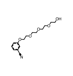 N#Cc1cccc(OCCOCCOCCOCCO)c1